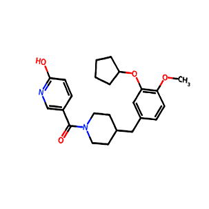 COc1ccc(CC2CCN(C(=O)c3ccc(O)nc3)CC2)cc1OC1CCCC1